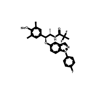 COc1c(C)cc([C@H](Oc2ccc3c(cnn3-c3ccc(F)cc3)c2)[C@H](C)NC(=O)C(C)(F)F)cc1C